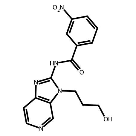 O=C(Nc1nc2ccncc2n1CCCO)c1cccc([N+](=O)[O-])c1